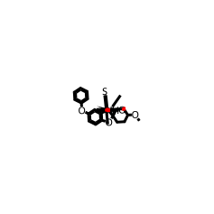 COC1CCC2(CC1)Oc1ccc(Oc3ccccc3)cc1C21NC(=S)N(C)C1=O